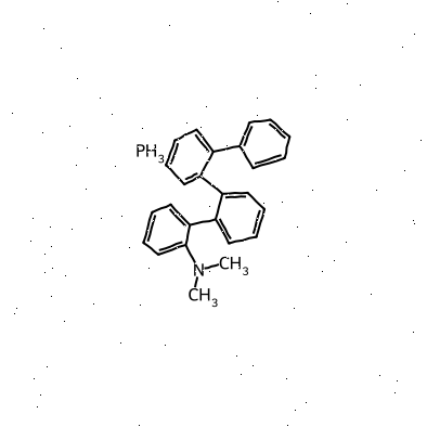 CN(C)c1ccccc1-c1ccccc1-c1ccccc1-c1ccccc1.P